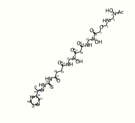 CC(=O)N(O)CNCOCC(=O)N(O)CNC(=O)CC(=O)N(O)CNC(=O)CCC(=O)NC(=S)N/N=C(\C)c1cnccn1